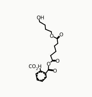 O=C(CCCCC(=O)OC(=O)c1ccccc1C(=O)O)OCCCCO